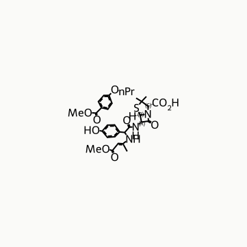 CCCOc1ccc(C(=O)OC)cc1.COC(=O)C=C(C)NC(C(=O)N[C@@H]1C(=O)N2[C@@H]1SC(C)(C)[C@@H]2C(=O)O)c1ccc(O)cc1